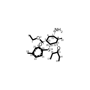 CCOC(=O)[C@@H]1C[C@H](N)[C@@H](C)[C@H](OC(CC)CC)[C@@H]1Sc1ccc(C)cc1